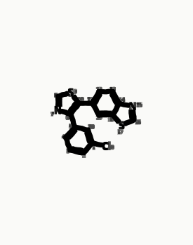 Clc1cccc(-c2ncsc2-c2ccc3ncsc3c2)c1